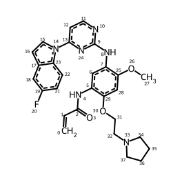 C=CC(=O)Nc1cc(Nc2nccc(-n3ccc4cc(F)ccc43)n2)c(OC)cc1OCCN1CCCC1